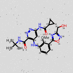 BC(B)(B)NC(=O)c1nnc(NC(=O)C2CC2)cc1Nc1cccc(-c2nc(CO)no2)c1OC